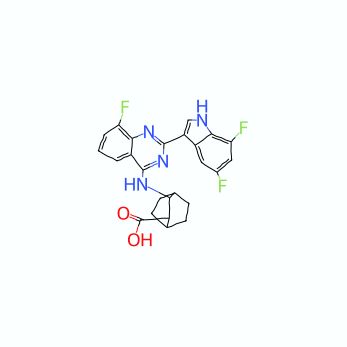 O=C(O)C1C2CCC(CC2)C1Nc1nc(-c2c[nH]c3c(F)cc(F)cc23)nc2c(F)cccc12